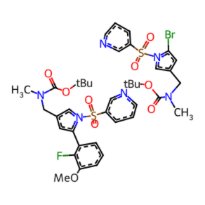 CN(Cc1cc(Br)n(S(=O)(=O)c2cccnc2)c1)C(=O)OC(C)(C)C.COc1cccc(-c2cc(CN(C)C(=O)OC(C)(C)C)cn2S(=O)(=O)c2cccnc2)c1F